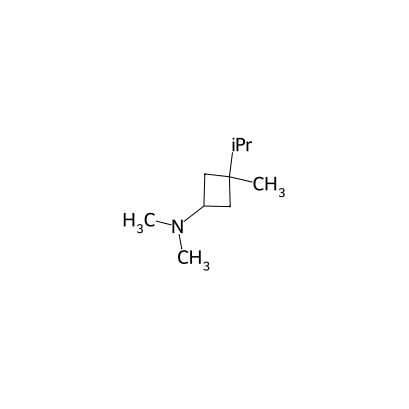 CC(C)C1(C)CC(N(C)C)C1